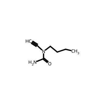 C#CN(CCCC)C(N)=O